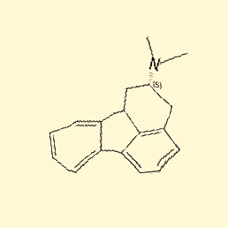 CN(C)[C@@H]1Cc2cccc3c2C(C1)c1ccccc1-3